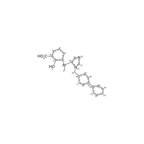 CN(c1cccc(C(=O)O)c1O)c1cncn1Cc1ccc(-c2ccccc2)cc1